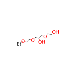 CCOCCOCC(O)COCCO